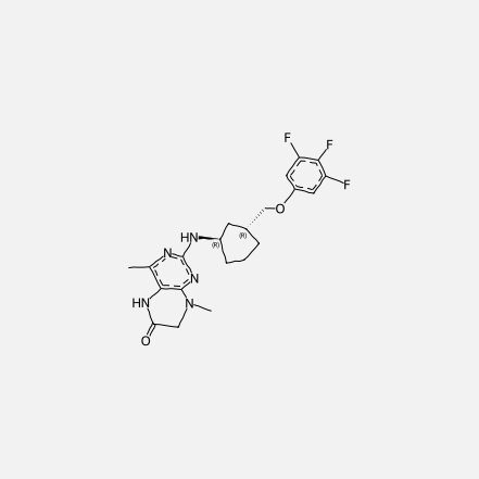 Cc1nc(N[C@@H]2CCC[C@@H](COc3cc(F)c(F)c(F)c3)C2)nc2c1NC(=O)CN2C